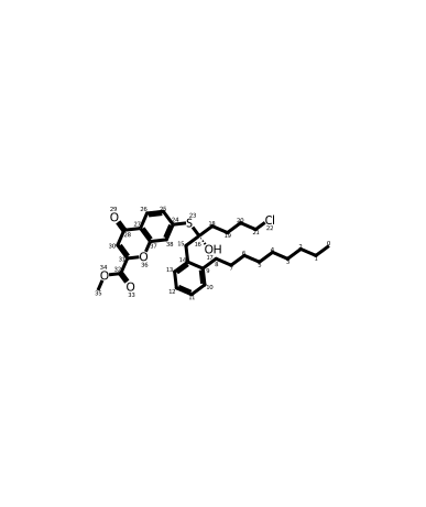 CCCCCCCCCc1ccccc1C[C@](O)(CCCCCl)Sc1ccc2c(=O)cc(C(=O)OC)oc2c1